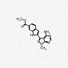 COC(=O)c1ccc2cc(-c3nn(C)c4ncnc(N)c34)[nH]c2c1